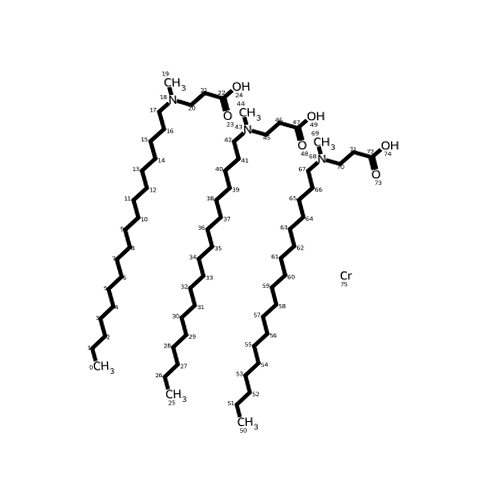 CCCCCCCCCCCCCCCCCCN(C)CCC(=O)O.CCCCCCCCCCCCCCCCCCN(C)CCC(=O)O.CCCCCCCCCCCCCCCCCCN(C)CCC(=O)O.[Cr]